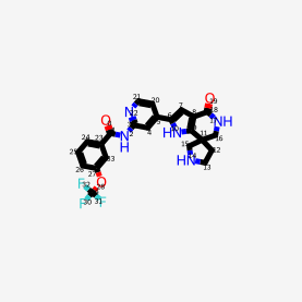 O=C(Nc1cc(-c2cc3c([nH]2)C2(CCNC2)CNC3=O)ccn1)c1cccc(OC(F)(F)F)c1